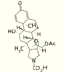 CC(=O)OCC(=O)[C@@]12CN(C(=O)O)C[C@@H]1C[C@H]1[C@@H]3CCC4=CC(=O)C=C[C@]4(C)[C@H]3[C@@H](O)C[C@@]12C